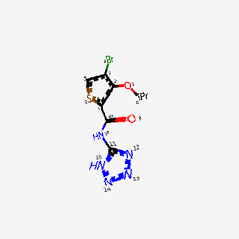 CC(C)Oc1c(Br)csc1C(=O)Nc1nnn[nH]1